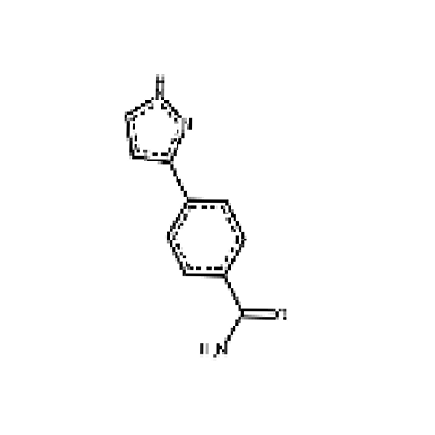 NC(=O)c1ccc(-c2cc[nH]n2)cc1